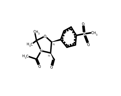 CC(=O)N1[C@H](C=O)[C@H](c2ccc(S(C)(=O)=O)cc2)OC1(C)C